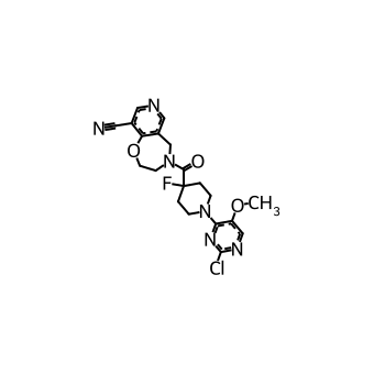 COc1cnc(Cl)nc1N1CCC(F)(C(=O)N2CCOc3c(C#N)cncc3C2)CC1